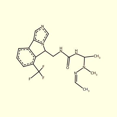 C/C=N\N(C)C(C)NC(=O)NCC1c2c(cccc2C(F)(F)F)-c2cncn21